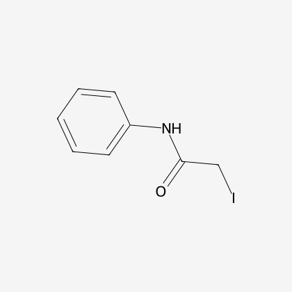 O=C(CI)Nc1ccccc1